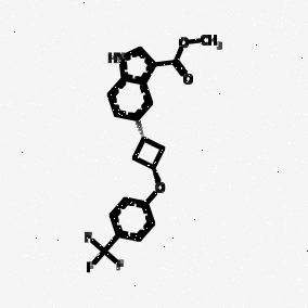 COC(=O)c1c[nH]c2ccc([C@H]3C[C@H](Oc4ccc(C(F)(F)F)cc4)C3)cc12